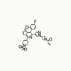 C=CC(=O)N1CC(n2cc(-c3nc(C4=CCN(S(C)(=O)=O)CC4)c4ccsc4c3-c3ccc(F)cc3OC)cn2)C1